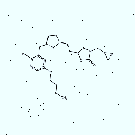 COCCOc1ccc(Br)c(CC2CCN(CCC3CN(CC4CC4)C(=O)O3)C2)c1